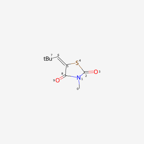 CN1C(=O)S/C(=C/C(C)(C)C)C1=O